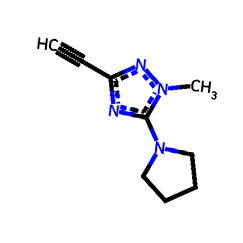 C#Cc1nc(N2CCCC2)n(C)n1